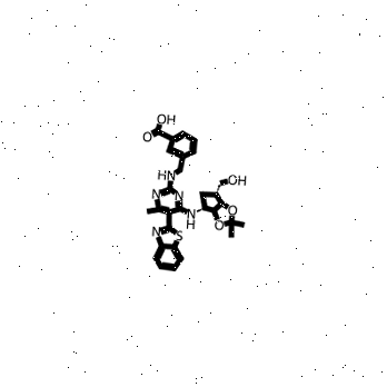 Cc1nc(NCc2cccc(C(=O)O)c2)nc(N[C@@H]2C[C@H](CO)C3OC(C)(C)OC32)c1-c1nc2ccccc2s1